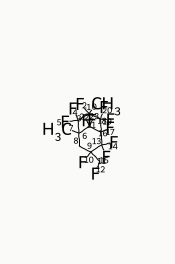 CC1(F)C(F)(F)C2(C)CC(F)(CF)C(F)(F)C(F)(C1(F)F)C2(F)F